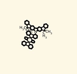 CC1(C)c2ccccc2-c2cc3c4cc5c(cc4n(-c4cccc6c4-c4ccccc4C64c6ccccc6C6(c7ccccc7-c7ccccc76)c6ccccc64)c3cc21)C(C)(C)c1ccccc1-5